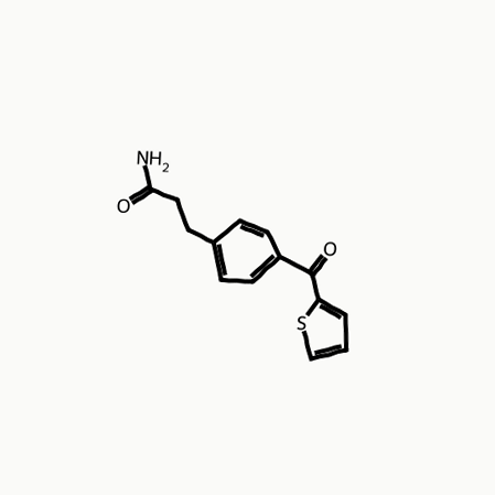 NC(=O)CCc1ccc(C(=O)c2cccs2)cc1